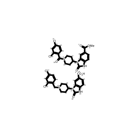 COC(=O)c1ccc2[nH]c(=O)n(C3CCN(C(=O)c4ccc(Cl)cc4Cl)CC3)c2c1.O=C(O)c1ccc2[nH]c(=O)n(C3CCN(Cc4ccc(Cl)cc4Cl)CC3)c2c1